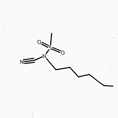 CCCCCCN(C#N)S(C)(=O)=O